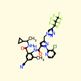 Cc1cc(C#N)cc(C(=O)NC(C)C2CC2)c1NC(=O)c1cc(Cn2cc(C(F)(F)C(F)(F)C(F)(F)F)nn2)nn1-c1ncccc1Cl